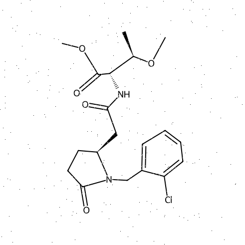 COC(=O)[C@@H](NC(=O)C[C@@H]1CCC(=O)N1Cc1ccccc1Cl)[C@@H](C)OC